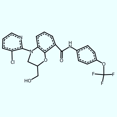 O=C(Nc1ccc(OC(F)(F)F)cc1)c1cccc2c1OC(CO)CN2c1ncccc1Cl